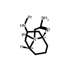 CC(C)NC1C[C@H]2CCC[C@@H](C1)[N+]2(CC(N)=O)C(C)C